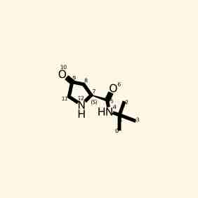 CC(C)(C)NC(=O)[C@@H]1CC(=O)CN1